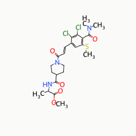 COC(=O)C(C)NC(=O)C1CCN(C(=O)C=Cc2cc(SC)c(C(=O)N(C)C)c(Cl)c2Cl)CC1